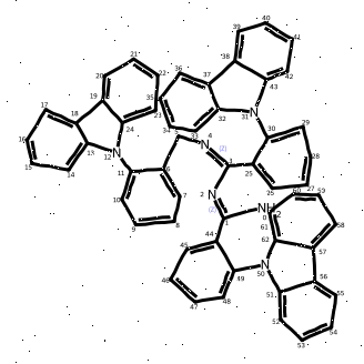 N/C(=N\C(=N/Cc1ccccc1-n1c2ccccc2c2ccccc21)c1ccccc1-n1c2ccccc2c2ccccc21)c1ccccc1-n1c2ccccc2c2ccccc21